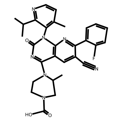 Cc1ccnc(C(C)C)c1-n1c(=O)nc(N2CCN(C(=O)O)CC2C)c2cc(C#N)c(-c3ccccc3F)nc21